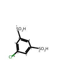 O=S(=O)(O)c1[c]c(Cl)cc(S(=O)(=O)O)c1